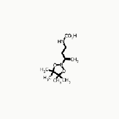 C=C(CCNC(=O)O)B1OC(C)(C)C(C)(C)O1